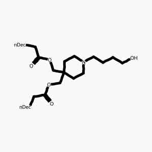 CCCCCCCCCCCC(=O)OCC1(COC(=O)CCCCCCCCCCC)CCN(CCCCO)CC1